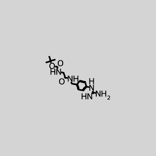 CC(C)(C)OC(=O)NCC(=O)NCc1ccc(NC(=N)N)cc1